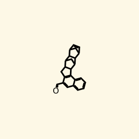 O=Cc1cc2ccccc2c2c1CC1C3CC(C21)C1C2C=CC(C2)C31